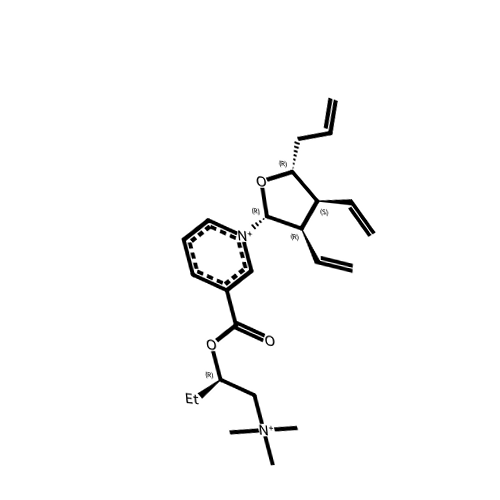 C=CC[C@H]1O[C@@H]([n+]2cccc(C(=O)O[C@H](CC)C[N+](C)(C)C)c2)[C@H](C=C)[C@@H]1C=C